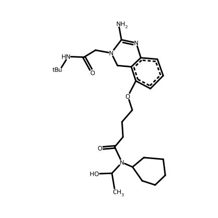 CC(O)N(C(=O)CCCOc1cccc2c1CN(CC(=O)NC(C)(C)C)C(N)=N2)C1CCCCC1